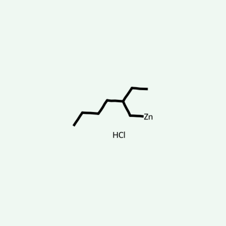 CCCCC(CC)[CH2][Zn].Cl